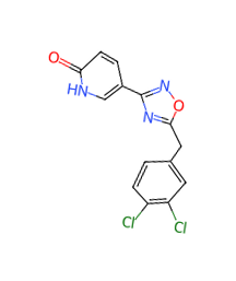 O=c1ccc(-c2noc(Cc3ccc(Cl)c(Cl)c3)n2)c[nH]1